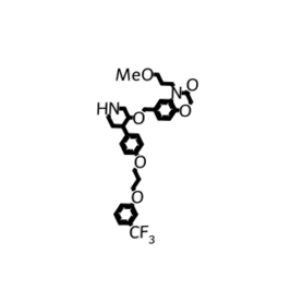 COCCCN1C(=O)COc2ccc(COC3CNCCC3c3ccc(OCCCOc4cccc(C(F)(F)F)c4)cc3)cc21